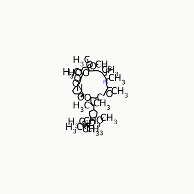 CCC1/C=C(\C)C(F)C(C)CC(OC)C2OC(O)(C(=O)C(=O)N3CCCCC3C(=O)OC(C(C)=CC3CCC(O[Si](C)(C)C(C)(C)C)C(OC)C3)C(C)CCC1=O)C(C)CC2OC